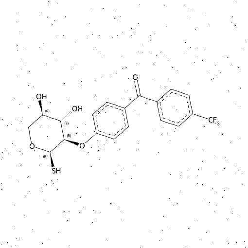 O=C(c1ccc(O[C@@H]2[C@@H](O)[C@H](O)CO[C@@H]2S)cc1)c1ccc(C(F)(F)F)cc1